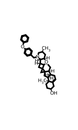 C[C@H]1C[C@H]2O[C@@]34CC[C@H]5[C@@H]6CC=C7C[C@@H](O)CC[C@]7(C)[C@H]6CC56CC63C[C@@H]4[C@@H]2N(Cc2ccc(Oc3ccccc3)cc2)C1